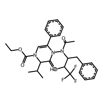 CCOC(=O)N1C=C(c2ccccc2)N(N(C(C)=O)C(Cc2ccccc2)C(O)C(F)(F)F)C(=O)C1C(C)C